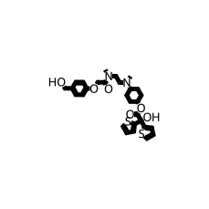 CN(CCN(C)C1CCC(OC(=O)C(O)(c2cccs2)c2cccs2)CC1)C(=O)COc1ccc(CO)cc1